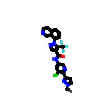 Cn1ccc(-c2ncc(NC(=O)c3cnn(-c4cccc5ccncc45)c3C(F)(F)F)cc2Cl)n1